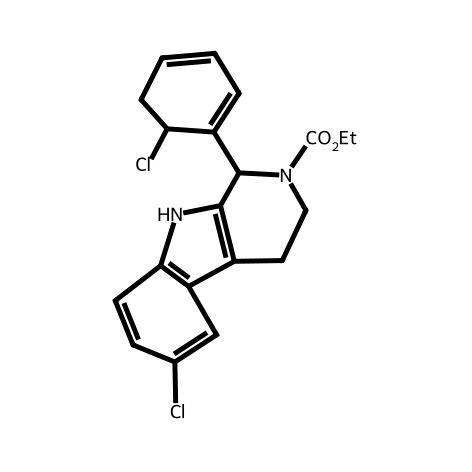 CCOC(=O)N1CCc2c([nH]c3ccc(Cl)cc23)C1C1=CC=CCC1Cl